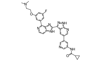 CN(C)CCOc1cc(F)cc(-c2nccc3[nH]c(-c4n[nH]c5ncc(-c6cncc(NC(=O)C7CC7)c6)cc45)nc23)c1